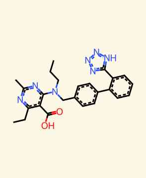 CCCN(Cc1ccc(-c2ccccc2-c2nnn[nH]2)cc1)c1nc(C)nc(CC)c1C(=O)O